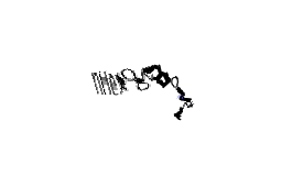 C=CCN(C)C/C=C/COc1ccc2c(c1)CCCN2C(=O)OCCCCCC